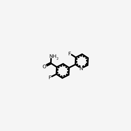 NC(=O)c1cc(-c2ncccc2F)ccc1F